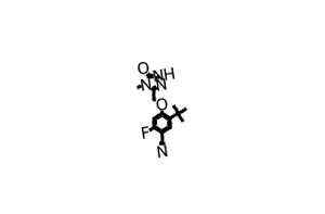 Cn1c(COc2cc(F)c(C#N)cc2C(C)(C)C)n[nH]c1=O